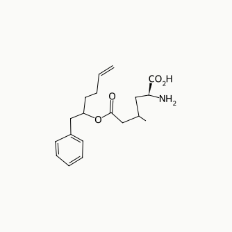 C=CCCC(Cc1ccccc1)OC(=O)CC(C)C[C@H](N)C(=O)O